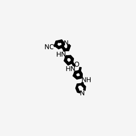 Cc1cc(NC2=CC=NC=CC2)ccc1NC(=O)c1ccc(Nc2ccnc3ccc(C#N)cc23)cc1